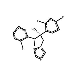 C[C@@H](c1ncccc1F)[C@](O)(Cn1cncn1)c1ccc(F)cc1F